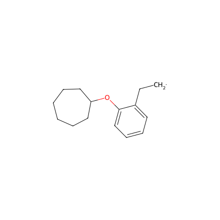 [CH2]Cc1ccccc1OC1CCCCCC1